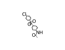 CC(=O)Nc1ccc(S(=O)(=O)c2ccc(Cl)cc2)cc1